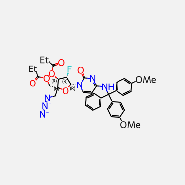 CCC(=O)OC[C@@]1(CN=[N+]=[N-])O[C@@H](n2ccc(NC(c3ccccc3)(c3ccc(OC)cc3)c3ccc(OC)cc3)nc2=O)[C@H](F)[C@@H]1OC(=O)CC